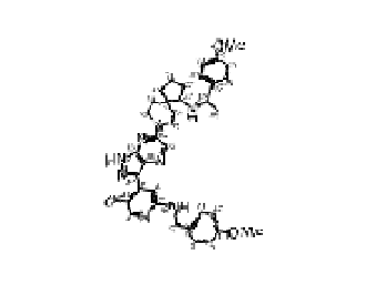 COc1ccc(CNc2cc(-c3n[nH]c4nc(N5CCC6(CCC[C@H]6NC(C)c6ccc(OC)cc6)CC5)cnc34)c(Cl)cn2)cc1